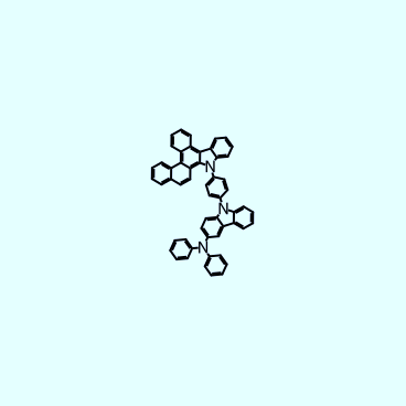 c1ccc(N(c2ccccc2)c2ccc3c(c2)c2ccccc2n3-c2ccc(-n3c4ccccc4c4c5ccccc5c5c6ccccc6ccc5c43)cc2)cc1